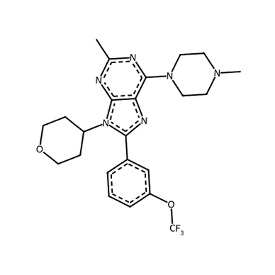 Cc1nc(N2CCN(C)CC2)c2nc(-c3cccc(OC(F)(F)F)c3)n(C3CCOCC3)c2n1